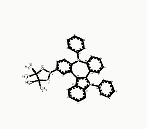 CC1(C)OB(c2ccc3c(c2)-c2c(n(-c4ccccc4)c4ccccc24)-c2ccccc2N3c2ccccc2)OC1(C)C